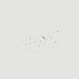 CC1(C)CC[C@]2(C(=O)O)CC[C@]3(C)C(=CC[C@@H]4[C@@]5(C)CC[C@H](O)CC5CC[C@]43C)[C@@H]2C1